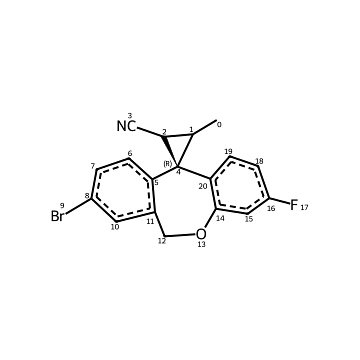 CC1C(C#N)[C@@]12c1ccc(Br)cc1COc1cc(F)ccc12